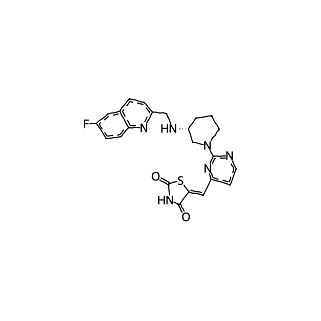 O=C1NC(=O)C(=Cc2ccnc(N3CCC[C@@H](NCc4ccc5cc(F)ccc5n4)C3)n2)S1